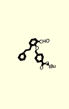 CC(C)(C)OC(=O)c1ccc(COc2c(C=O)cccc2CCc2ccccc2)cc1